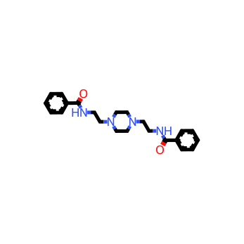 O=C(NCCN1CCN(CCNC(=O)c2ccccc2)CC1)c1ccccc1